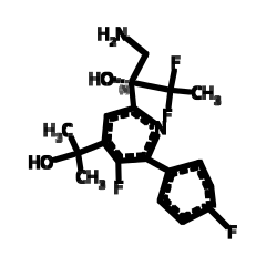 CC(C)(O)c1cc([C@@](O)(CN)C(C)(F)F)nc(-c2ccc(F)cc2)c1F